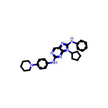 c1ccc(Nc2nc3cnc(Nc4ccc(N5CCCCC5)cc4)nc3n2C2CCCC2)cc1